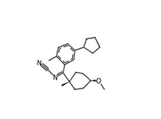 CO[C@H]1CC[C@](C)(/C(=N/C#N)c2cc(C3CCCC3)ccc2C)CC1